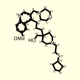 COc1ccc2ncc(CN3CCOCC3)c(CCCC3(CO)CCN(CCSC4CCCC4)CC3)c2c1